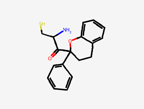 NC(CS)C(=O)C1(c2ccccc2)CCc2ccccc2O1